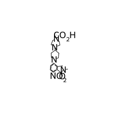 CN1Cc2c(N3CCC(N4CCN(C(=O)O)CC4)CC3)ccc([N+](=O)[O-])c2C1=O